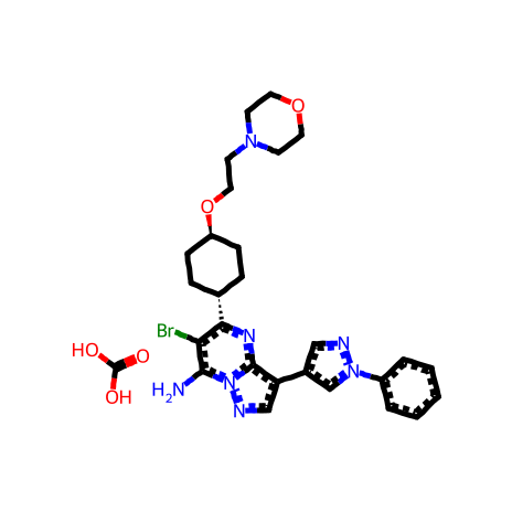 Nc1c(Br)c([C@H]2CC[C@H](OCCN3CCOCC3)CC2)nc2c(-c3cnn(-c4ccccc4)c3)cnn12.O=C(O)O